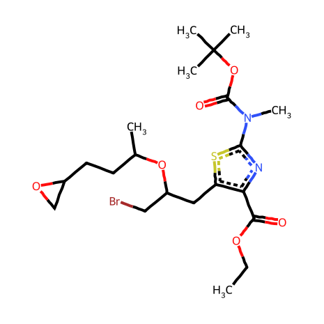 CCOC(=O)c1nc(N(C)C(=O)OC(C)(C)C)sc1CC(CBr)OC(C)CCC1CO1